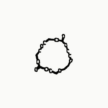 O=C1OCCOCCOCCOC(=O)OCCOCCO1